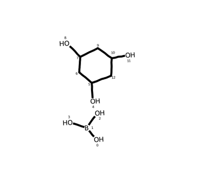 OB(O)O.OC1CC(O)CC(O)C1